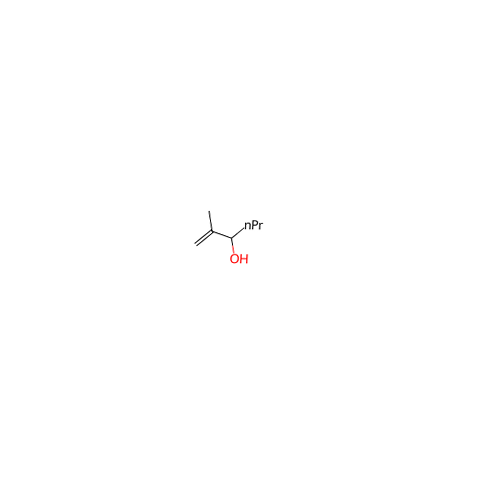 C=C(C)C(O)CCC